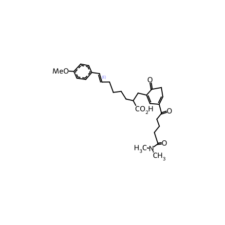 COc1ccc(/C=C/CCCCC(CC2=CC(C(=O)CCCC(=O)N(C)C)=CCC2=O)C(=O)O)cc1